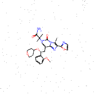 COc1ccccc1[C@H](Cc1cn(C(C)(C)C(N)=O)c(=O)n2c(C)c(-c3ncco3)nc12)OC1CCOCC1